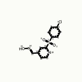 O=S(=O)(c1ccc(Cl)cc1)c1cc(C=NO)ccn1